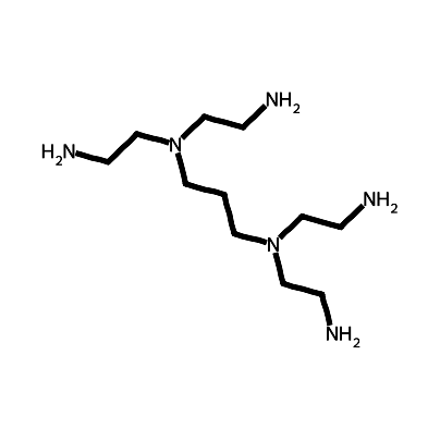 NCCN(CCN)CCCN(CCN)CCN